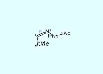 CO/C=N\NC(C)=O